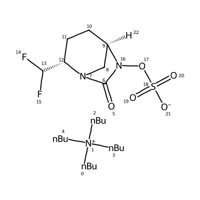 CCCC[N+](CCCC)(CCCC)CCCC.O=C1N2C[C@@H](CC[C@H]2C(F)F)N1OS(=O)(=O)[O-]